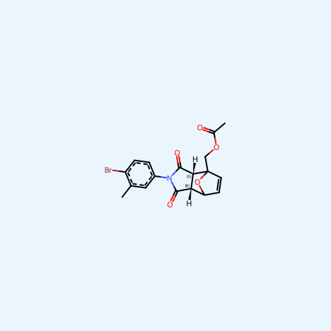 CC(=O)OCC12C=CC(O1)[C@@H]1C(=O)N(c3ccc(Br)c(C)c3)C(=O)[C@@H]12